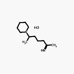 CC(=N)CCCC(C)N1CCCCC1.Cl